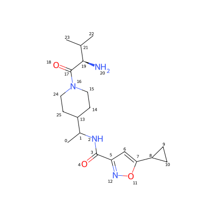 CC(NC(=O)c1cc(C2CC2)on1)C1CCN(C(=O)[C@H](N)C(C)C)CC1